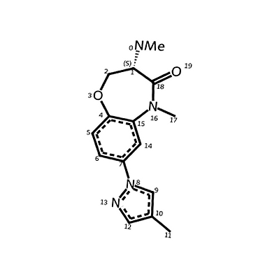 CN[C@H]1COc2ccc(-n3cc(C)cn3)cc2N(C)C1=O